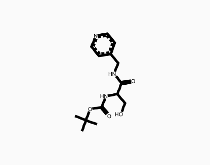 CC(C)(C)OC(=O)NC(CO)C(=O)NCc1ccncc1